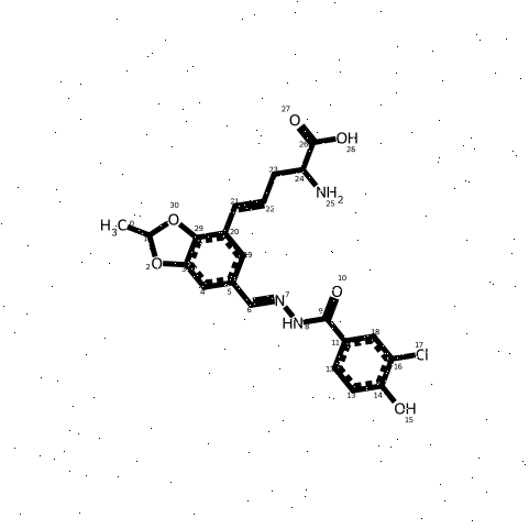 CC1Oc2cc(/C=N/NC(=O)c3ccc(O)c(Cl)c3)cc(/C=C/CC(N)C(=O)O)c2O1